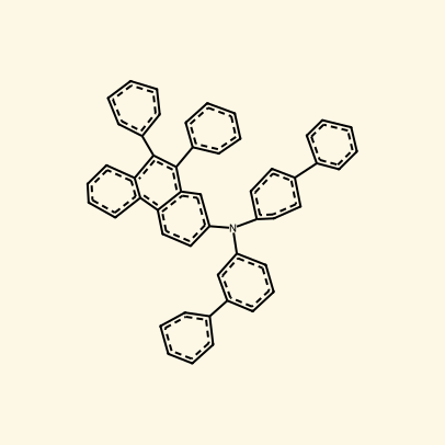 c1ccc(-c2ccc(N(c3cccc(-c4ccccc4)c3)c3ccc4c(c3)c(-c3ccccc3)c(-c3ccccc3)c3ccccc34)cc2)cc1